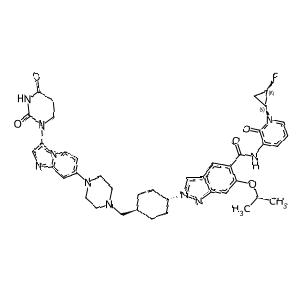 CC(C)Oc1cc2nn([C@H]3CC[C@H](CN4CCN(c5ccn6c(N7CCC(=O)NC7=O)cnc6c5)CC4)CC3)cc2cc1C(=O)Nc1cccn([C@H]2C[C@H]2F)c1=O